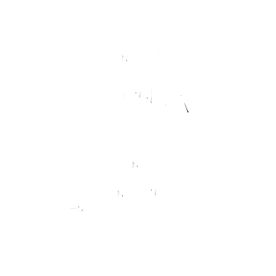 C[C@H]1CNCCCN1c1nccc(/C(O)=C/C(=N)[C@@]2(C)CCCc3sc(N)c(N)c32)n1